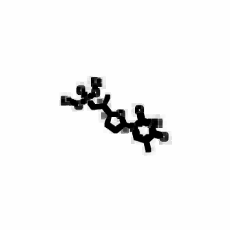 CCOP(=O)(C[C@@H](C)[C@@H]1CC[C@H](n2cc(C)c(=O)[nH]c2=O)O1)OCC